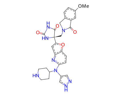 COc1ccc2c(c1)C(=O)N(C[C@@]1(c3cc4nc(N(c5cn[nH]c5)C5CCNCC5)ccc4o3)NC(=O)NC1=O)C2